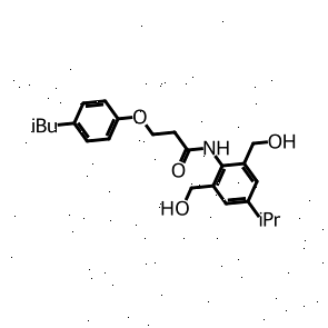 CCC(C)c1ccc(OCCC(=O)Nc2c(CO)cc(C(C)C)cc2CO)cc1